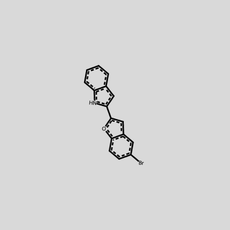 Brc1ccc2oc(-c3cc4ccccc4[nH]3)cc2c1